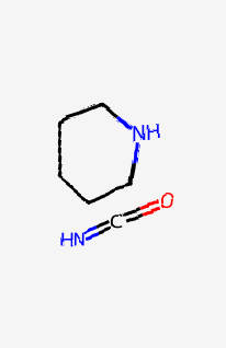 C1CCNCC1.N=C=O